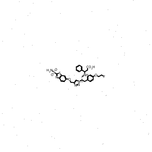 NS(=O)(=O)c1nc2ccc(OCc3cn([C@H](CNC(CC(=O)O)c4ccccc4)Cc4ccc(OCCF)cc4)nn3)cc2s1